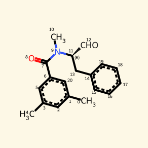 Cc1cc(C)cc(C(=O)N(C)[C@@H](C=O)Cc2ccccc2)c1